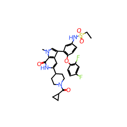 CCS(=O)(=O)Nc1ccc(Oc2ccc(F)cc2F)c(-c2cn(C)c3c(=O)[nH]c(C4CCN(C(=O)C5CC5)CC4)cc23)c1